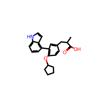 CC(Cc1ccc(OC2CCCC2)c(-c2cccc3[nH]ccc23)c1)C(=O)O